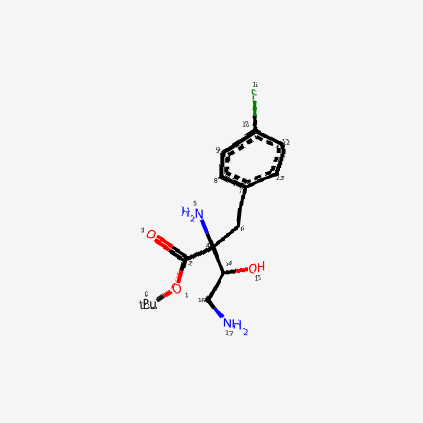 CC(C)(C)OC(=O)C(N)(Cc1ccc(F)cc1)C(O)CN